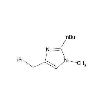 CCCCc1nc(CC(C)C)cn1C